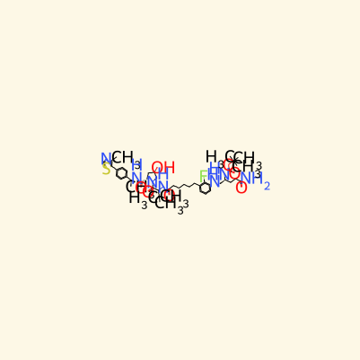 Cc1ncsc1-c1ccc([C@H](C)NC(=O)[C@@H]2C[C@@H](O)CN2C(=O)[C@@H](NC(=O)CCCCCc2cccc(NC[C@H](CCC(N)=O)NC(=O)OC(C)(C)C)c2F)C(C)(C)C)cc1